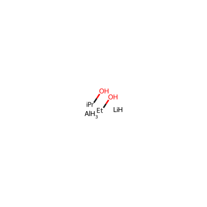 CC(C)O.CCO.[AlH3].[LiH]